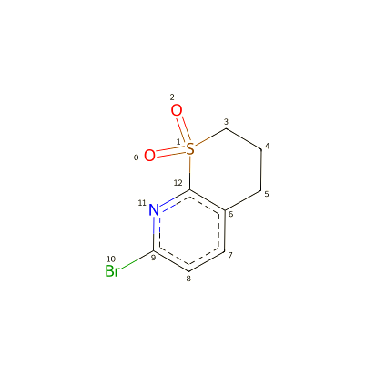 O=S1(=O)CCCc2ccc(Br)nc21